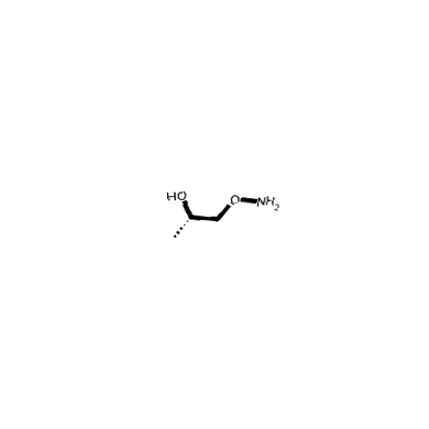 C[C@H](O)CON